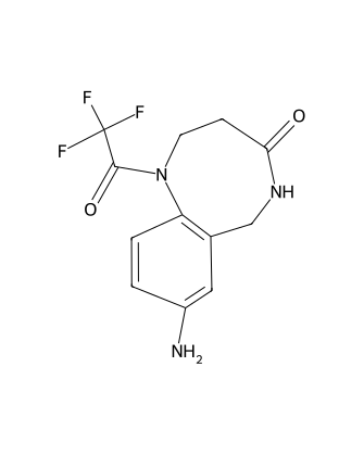 Nc1ccc2c(c1)CNC(=O)CCN2C(=O)C(F)(F)F